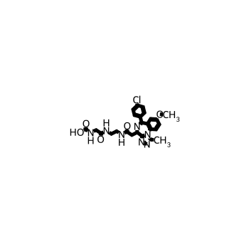 COc1ccc2c(c1)C(c1ccc(Cl)cc1)=NC(CC(=O)NCCNC(=O)CNC(=O)O)c1nnc(C)n1-2